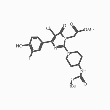 COC(=O)Cn1c(N2CCC(NC(=O)OC(C)(C)C)CC2)nc(-c2ccc(C#N)c(F)c2)c(Cl)c1=O